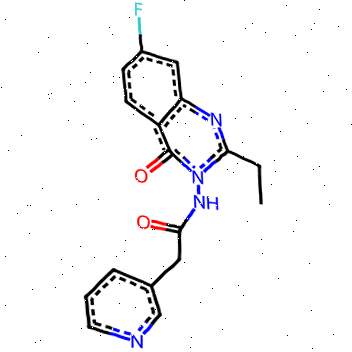 CCc1nc2cc(F)ccc2c(=O)n1NC(=O)Cc1cccnc1